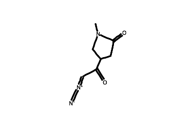 CN1CC(C(=O)C=[N+]=[N-])CC1=O